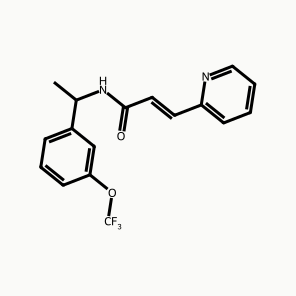 CC(NC(=O)C=Cc1ccccn1)c1cccc(OC(F)(F)F)c1